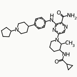 CC1C(NC(=O)C2CC2)CCCN1c1cnc(C(N)=O)c(Nc2ccc(C3CCN(C4CCCC4)CC3)cc2)n1